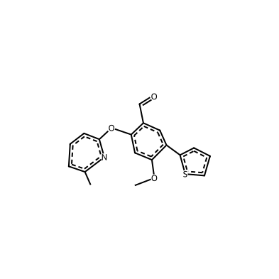 COc1cc(Oc2cccc(C)n2)c(C=O)cc1-c1cccs1